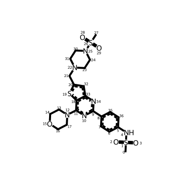 CS(=O)(=O)Nc1ccc(-c2nc(N3CCOCC3)c3sc(CN4CCN(S(C)(=O)=O)CC4)cc3n2)cc1